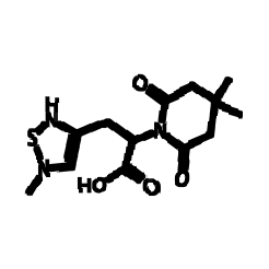 CN1C=C(CC(C(=O)O)N2C(=O)CC(C)(C)CC2=O)NS1